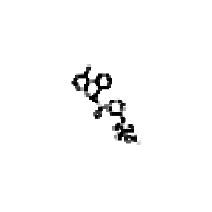 CS(=O)(=O)NC[C@H]1CN(C(=O)[C@@H]2C[C@H]2c2ccccc2-c2c(F)cccc2F)CCO1